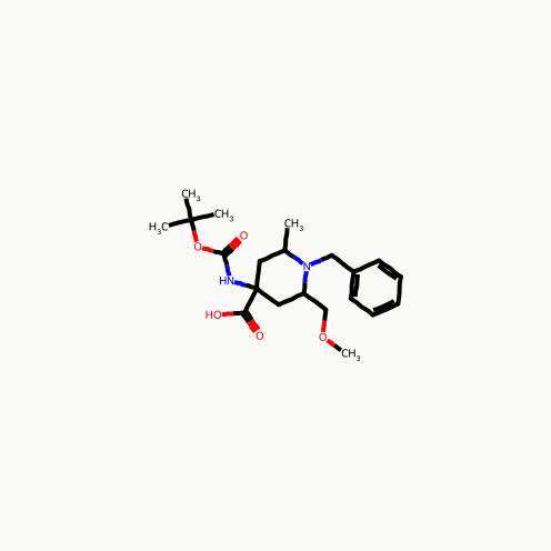 COCC1CC(NC(=O)OC(C)(C)C)(C(=O)O)CC(C)N1Cc1ccccc1